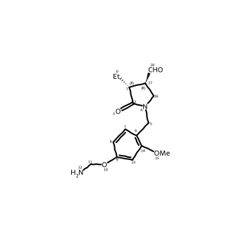 CC[C@H]1C(=O)N(Cc2ccc(OCN)cc2OC)C[C@@H]1C=O